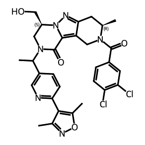 Cc1noc(C)c1-c1ccc(C(C)N2C[C@@H](CO)n3nc4c(c3C2=O)CN(C(=O)c2ccc(Cl)c(Cl)c2)[C@H](C)C4)cn1